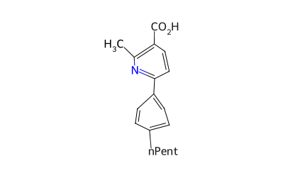 CCCCCc1ccc(-c2ccc(C(=O)O)c(C)n2)cc1